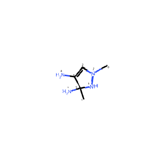 CN1C=C(N)C(C)(N)N1